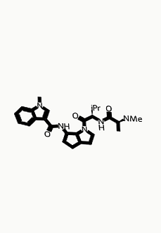 CN[C@@H](C)C(=O)N[C@H](C(=O)N1CCC2CCC(NC(=O)c3cn(C)c4ccccc34)C21)C(C)C